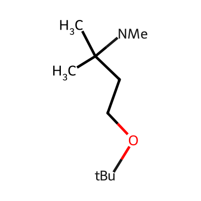 CNC(C)(C)CCOC(C)(C)C